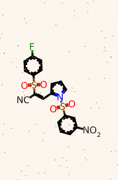 N#C/C(=C/c1cccn1S(=O)(=O)c1cccc([N+](=O)[O-])c1)S(=O)(=O)c1ccc(F)cc1